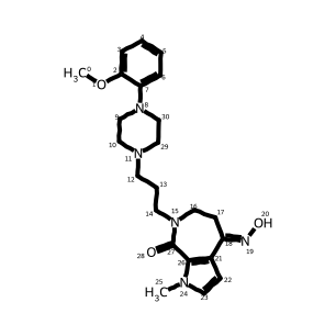 COc1ccccc1N1CCN(CCCN2CCC(=NO)c3ccn(C)c3C2=O)CC1